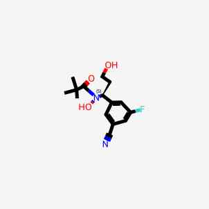 CC(C)(C)C(=O)N(O)[C@@H](CCO)c1cc(F)cc(C#N)c1